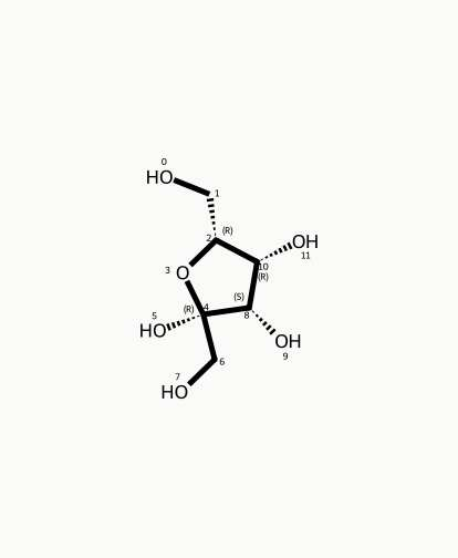 OC[C@H]1O[C@](O)(CO)[C@@H](O)[C@H]1O